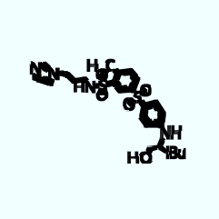 CC[C@H](C)[C@@H](CO)Nc1ccc(S(=O)(=O)c2ccc(C)c(S(=O)(=O)NCCCn3ccnc3)c2)cc1